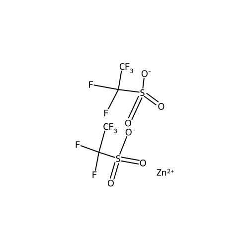 O=S(=O)([O-])C(F)(F)C(F)(F)F.O=S(=O)([O-])C(F)(F)C(F)(F)F.[Zn+2]